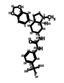 CN1CC[C@]2(c3ccc4c(c3)OCO4)CC[C@@H](NC(=O)Nc3cccc(C(F)(F)F)c3)C[C@H]12